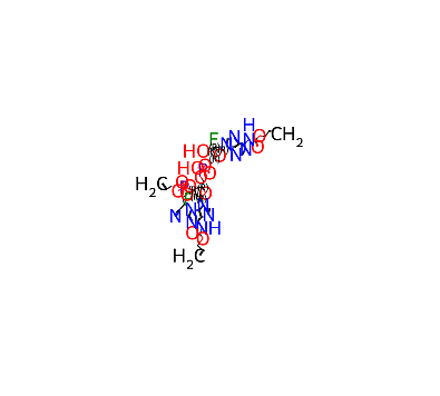 C=CCOC(=O)Nc1ncnc2c1ncn2[C@@H]1O[C@H](COP(=O)(O)OC[C@H]2O[C@@H](n3cnc4c(NC(=O)OCC=C)ncnc43)[C@H](F)[C@@H]2OP(=O)(OCC=C)OCCC#N)[C@@H](O)[C@H]1F